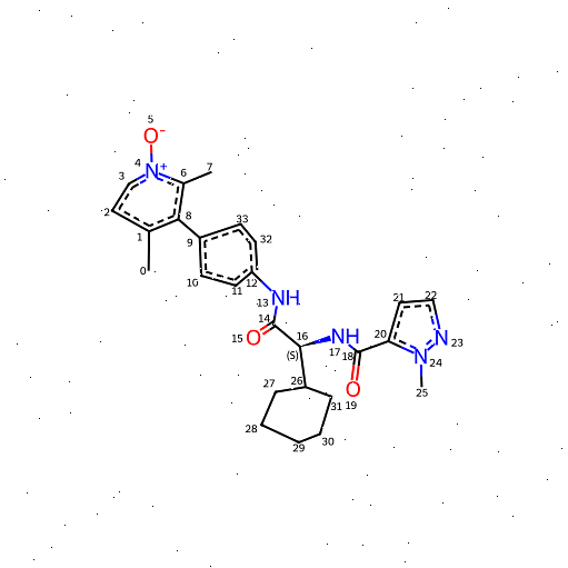 Cc1cc[n+]([O-])c(C)c1-c1ccc(NC(=O)[C@@H](NC(=O)c2ccnn2C)C2CCCCC2)cc1